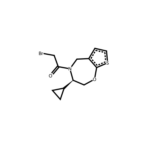 O=C(CBr)N1Cc2ccsc2OC[C@H]1C1CC1